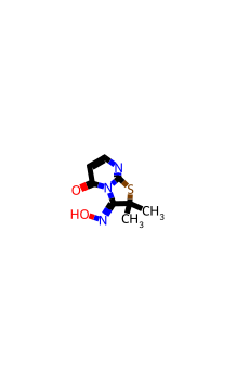 CC1(C)Sc2nccc(=O)n2/C1=N\O